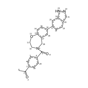 CC(=O)c1ccc(C(=O)N2CCOc3ccc(-c4ccc5cn[nH]c5c4)cc3C2)cc1